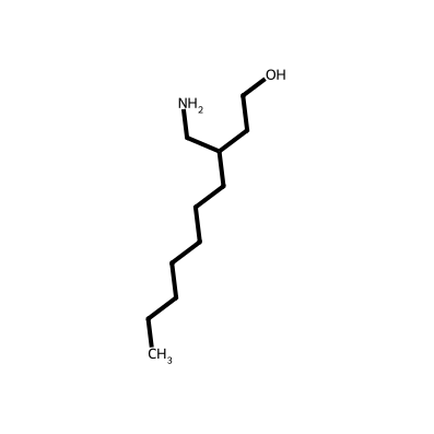 CCCCCCCC(CN)CCO